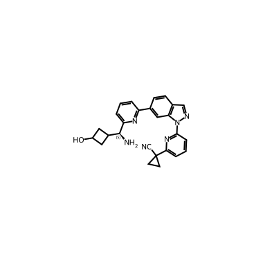 N#CC1(c2cccc(-n3ncc4ccc(-c5cccc([C@@H](N)C6CC(O)C6)n5)cc43)n2)CC1